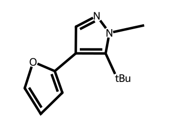 Cn1ncc(-c2ccco2)c1C(C)(C)C